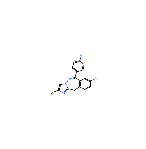 Cc1cn2c(n1)Cc1ccc(Cl)cc1C(c1ccc(N)cc1)=N2